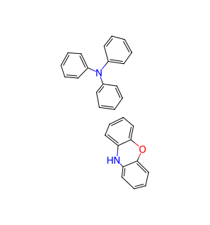 c1ccc(N(c2ccccc2)c2ccccc2)cc1.c1ccc2c(c1)Nc1ccccc1O2